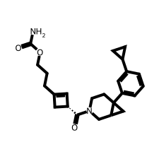 NC(=O)OCCCC1=C[C@H](C(=O)N2CCC3(c4cccc(C5CC5)c4)CC3C2)C1